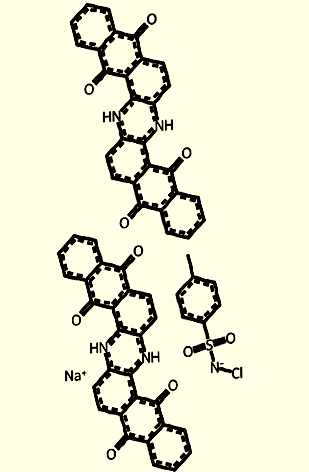 Cc1ccc(S(=O)(=O)[N-]Cl)cc1.O=c1c2ccccc2c(=O)c2c1ccc1[nH]c3c(ccc4c(=O)c5ccccc5c(=O)c43)[nH]c12.O=c1c2ccccc2c(=O)c2c1ccc1[nH]c3c(ccc4c(=O)c5ccccc5c(=O)c43)[nH]c12.[Na+]